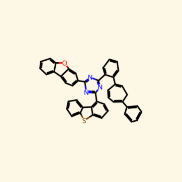 C1=CC(c2ccccc2-c2nc(-c3ccc4c(c3)oc3ccccc34)nc(-c3cccc4sc5ccccc5c34)n2)=CCC(c2ccccc2)=C1